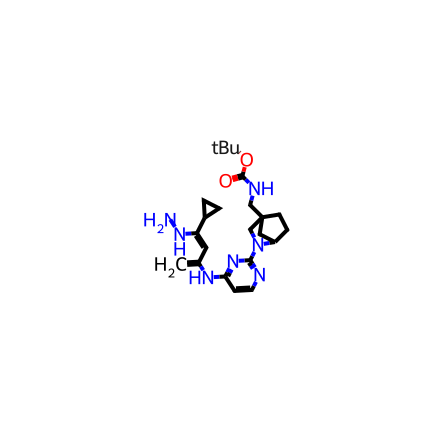 C=C(/C=C(\NN)C1CC1)Nc1ccnc(N2CC3(CNC(=O)OC(C)(C)C)CCC2C3)n1